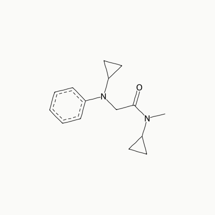 CN(C(=O)CN(c1ccccc1)C1CC1)C1CC1